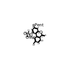 C=C1Oc2cc(CCCCC)cc(OP(C)(=O)OC)c2-c2cc(C)ccc21